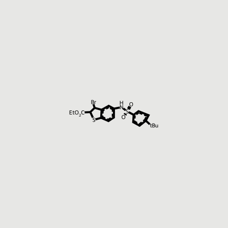 CCOC(=O)C1Sc2ccc(NS(=O)(=O)c3ccc(C(C)(C)C)cc3)cc2C1Br